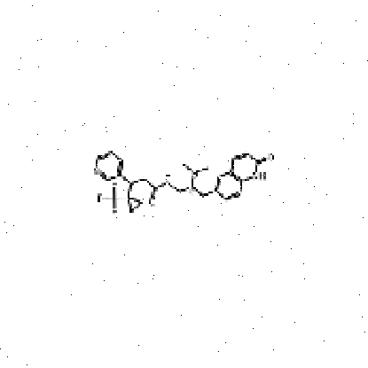 CN(C)[C@H](CNC(=O)CC(c1cccnc1)C1(C(F)(F)F)CC1)Cc1ccc2[nH]c(=O)ccc2c1